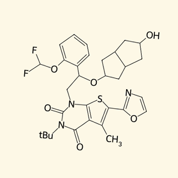 Cc1c(-c2ncco2)sc2c1c(=O)n(C(C)(C)C)c(=O)n2CC(OC1CC2CC(O)CC2C1)c1ccccc1OC(F)F